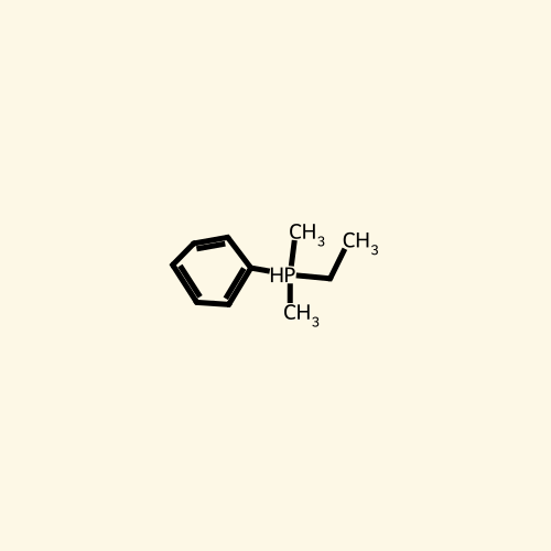 CC[PH](C)(C)c1ccccc1